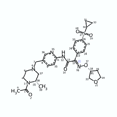 CC(=O)N1CCN(Cc2ccc(NC(=O)/C(=N/O[C@@H]3CCOC3)c3ccc(S(=O)(=O)C4CC4)cc3)nc2)C[C@@H]1C